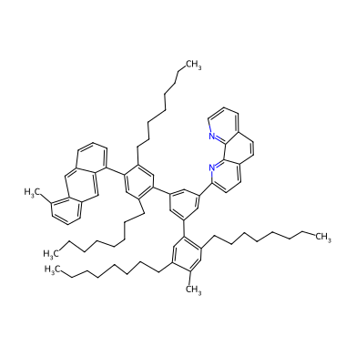 CCCCCCCCc1cc(-c2cc(-c3ccc4ccc5cccnc5c4n3)cc(-c3cc(CCCCCCCC)c(-c4cccc5cc6c(C)cccc6cc45)cc3CCCCCCCC)c2)c(CCCCCCCC)cc1C